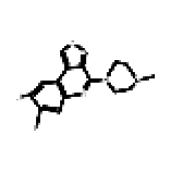 CN1CCN(c2nc3cc(F)c(Cl)cc3c3conc23)CC1